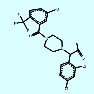 CC(=O)C(c1ccc(Cl)cc1Cl)N1CCN(C(=O)c2cc(Cl)ccc2C(F)(F)F)CC1